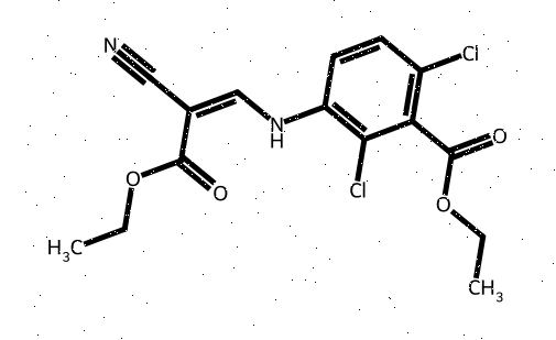 CCOC(=O)C(C#N)=CNc1ccc(Cl)c(C(=O)OCC)c1Cl